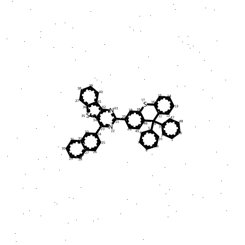 c1ccc(C2(c3ccccc3)c3ccccc3Sc3cc(-c4nc(-c5ccc6ccccc6c5)c5sc6ccccc6c5n4)ccc32)cc1